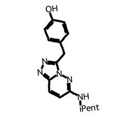 CCCC(C)Nc1ccc2nnc(Cc3ccc(O)cc3)n2n1